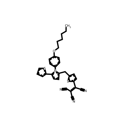 CCCCCCOc1ccc(-n2c(Cc3ccc(C(C#N)=C(C#N)C#N)s3)ccc2-c2cccs2)cc1